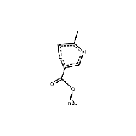 CCCCOC(=O)c1ccc(C)nc1